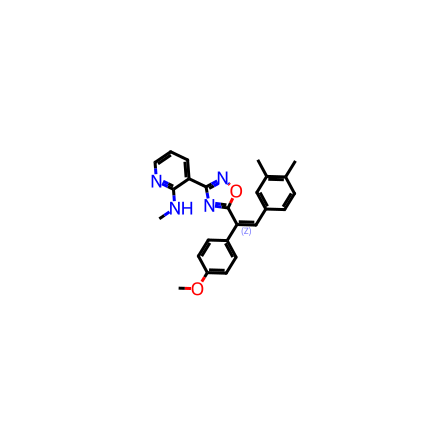 CNc1ncccc1-c1noc(/C(=C\c2ccc(C)c(C)c2)c2ccc(OC)cc2)n1